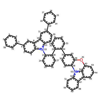 c1ccc(-c2ccc3c(c2)c2cc(-c4ccccc4)ccc2n3-c2ccccc2-c2ccccc2-c2ccc3c(c2)Oc2cccc4c5ccccc5n-3c24)cc1